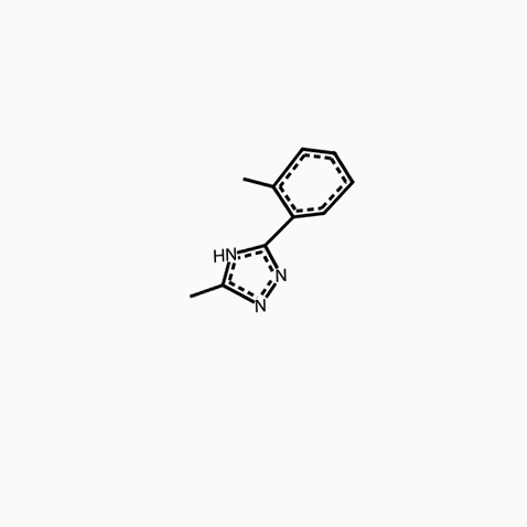 Cc1nnc(-c2ccccc2C)[nH]1